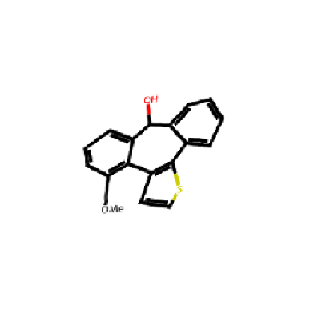 COc1cccc2c1-c1ccsc1-c1ccccc1C2O